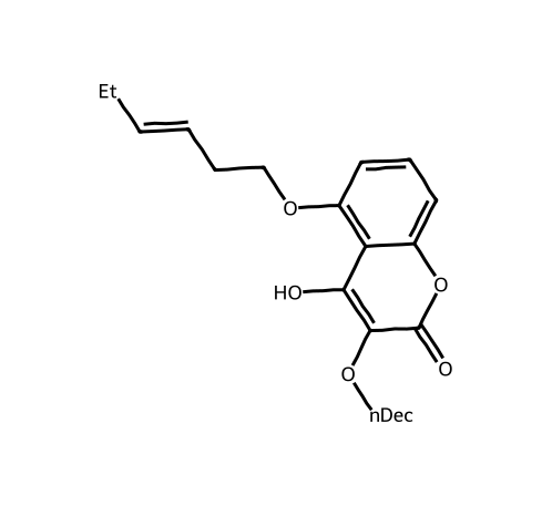 CC/C=C/CCOc1cccc2oc(=O)c(OCCCCCCCCCC)c(O)c12